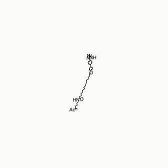 CC(=O)[C@@H](C)CCCCNC(=O)CCCCCCCCCCCCCCCOc1ccc(-c2ccc(-c3nnn[nH]3)cc2)cc1